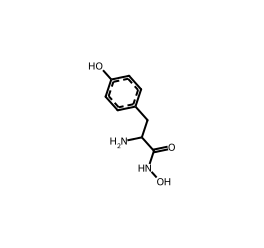 NC(Cc1ccc(O)cc1)C(=O)NO